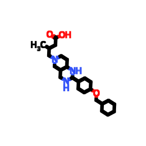 CC(CC(=O)O)CN1CCC2NC(C3CCC(OCC4CCCCC4)CC3)NCC2C1